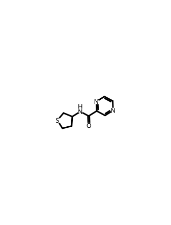 O=C(NC1CCSC1)c1cnccn1